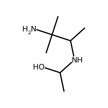 CC(O)NC(C)C(C)(C)N